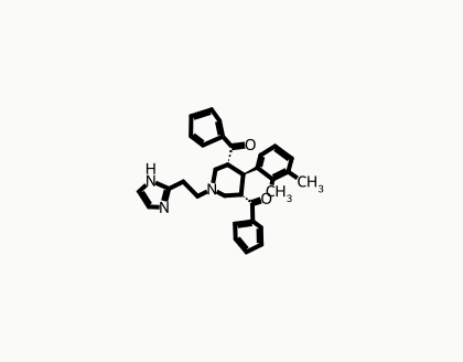 Cc1cccc([C@@H]2[C@@H](C(=O)c3ccccc3)CN(CCc3ncc[nH]3)C[C@H]2C(=O)c2ccccc2)c1C